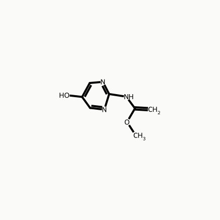 C=C(Nc1ncc(O)cn1)OC